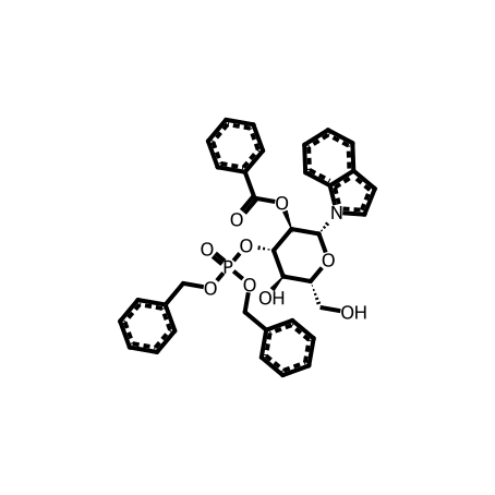 O=C(O[C@@H]1[C@@H](OP(=O)(OCc2ccccc2)OCc2ccccc2)[C@H](O)[C@@H](CO)O[C@H]1n1ccc2ccccc21)c1ccccc1